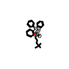 CC(C)(C)CCCS(=O)(=O)O[PH](c1ccccc1)(c1ccccc1)c1ccccc1